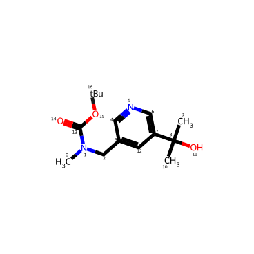 CN(Cc1cncc(C(C)(C)O)c1)C(=O)OC(C)(C)C